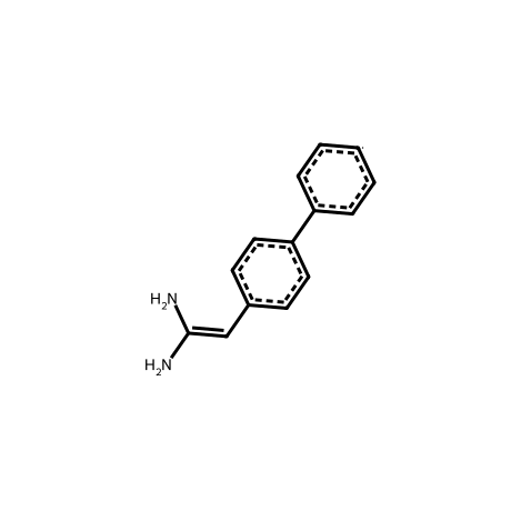 NC(N)=Cc1ccc(-c2cc[c]cc2)cc1